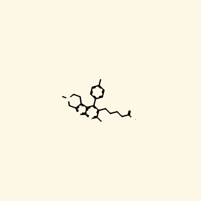 Cc1ccc(-c2c(CCCCC(=O)O)c(C)nc3sc4c(c23)CCN(C)C4)cc1